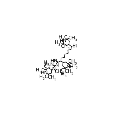 CCC(CCCCCCC(C(=N)/N=C(\N)N(C)C1CC(C)(C)NC(C)(C)C1)C1CC(C)(C)NC(C)(C)C1)C1CC(C)(C)NC(C)(C)C1